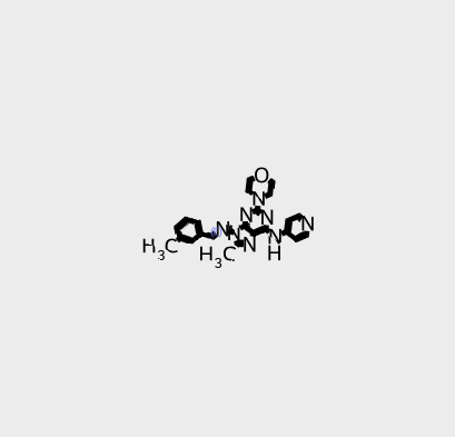 Cc1cccc(/C=N/n2c(C)nc3c(Nc4ccncc4)nc(N4CCOCC4)nc32)c1